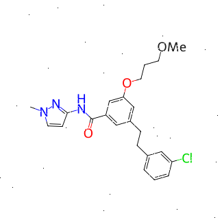 COCCCOc1cc(CCc2cccc(Cl)c2)cc(C(=O)Nc2ccn(C)n2)c1